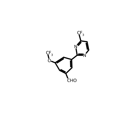 O=Cc1cc(OC(F)(F)F)cc(-c2nccc(C(F)(F)F)n2)c1